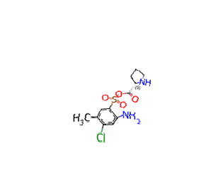 Cc1cc(S(=O)(=O)OC(=O)[C@@H]2CCCN2)c(N)cc1Cl